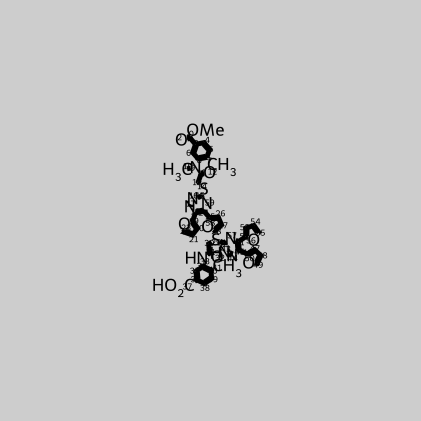 COC(=O)c1ccc(C)c(N(C)C(=O)CSc2nnc(-c3ccco3)c(-c3ccc([SH](CC(=O)Nc4cc(C(=O)O)ccc4C)c4nnc(-c5ccco5)c(-c5ccco5)n4)o3)n2)c1